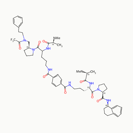 CN[C@@H](C)C(=O)NC(CCCNC(=O)c1ccc(C(=O)NCCC[C@H](NC(=O)[C@H](C)NC)C(=O)N2CCC[C@H]2C(=O)N[C@@H]2CCCc3ccccc32)cc1)C(=O)N1CCC[C@H]1CN(CCc1ccccc1)C(=O)C(F)(F)F